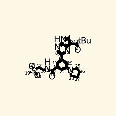 CC(C)(C)C(=O)c1c[nH]c2ncc(-c3cc(C(=O)NCCS(C)(=O)=O)cc(N4CCCC4)c3)nc12